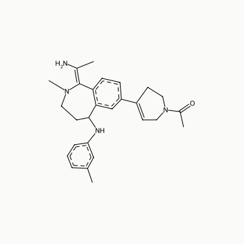 CC(=O)N1CC=C(c2ccc3c(c2)C(Nc2cccc(C)c2)CCN(C)/C3=C(/C)N)CC1